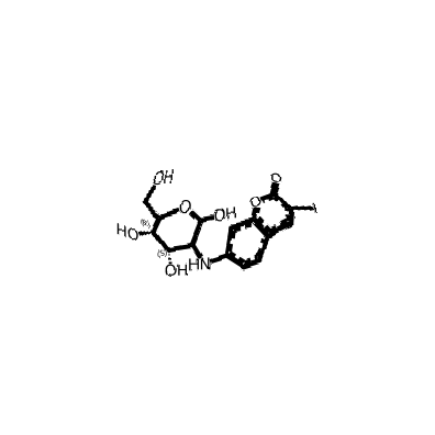 O=c1oc2cc(NC3C(O)OC(CO)[C@H](O)[C@H]3O)ccc2cc1I